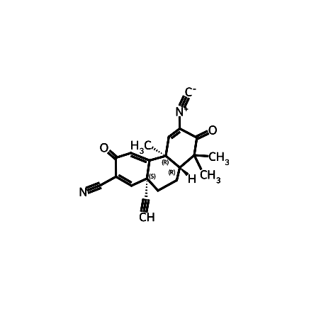 [C-]#[N+]C1=C[C@]2(C)C3=CC(=O)C(C#N)=C[C@]3(C#C)CC[C@H]2C(C)(C)C1=O